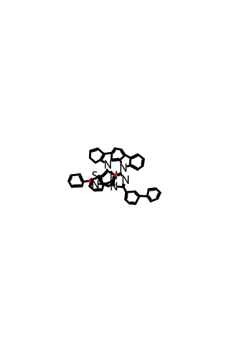 C1=Cc2c(n(-c3cccc4nc(-c5ccccc5)sc34)c3c2ccc2c4ccccc4n(-c4nc(-c5ccccc5)nc(-c5cccc(-c6ccccc6)c5)n4)c23)CC1